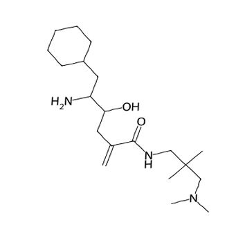 C=C(CC(O)C(N)CC1CCCCC1)C(=O)NCC(C)(C)CN(C)C